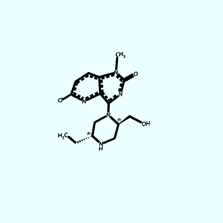 CC[C@@H]1CN(c2nc(=O)n(C)c3ccc(Cl)nc23)[C@@H](CO)CN1